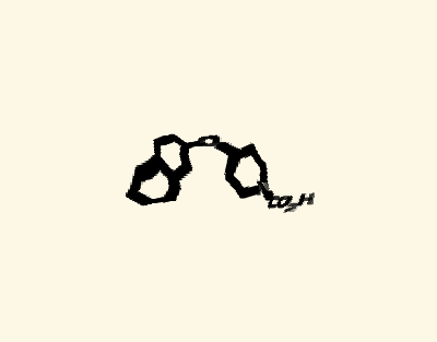 O=C(O)N1CCC(Oc2ccc3ccccc3c2)CC1